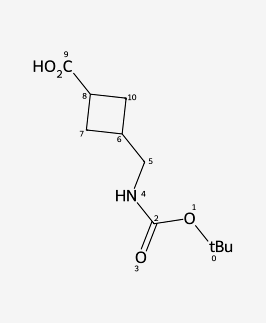 CC(C)(C)OC(=O)NCC1CC(C(=O)O)C1